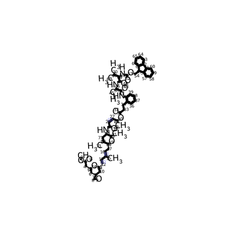 COC(=O)C[C@@H]1C[C@@]2(CO2)C[C@@H](/C=C/C(C)=C/C[C@@H]2O[C@H](C)[C@H](NC(=O)/C=C\[C@H](C)OC(=O)CCc3ccccc3NC(=O)[C@H](C)NC(=O)[C@@H](NC(=O)OCC3c4ccccc4-c4ccccc43)C(C)C)C[C@@H]2C)O1